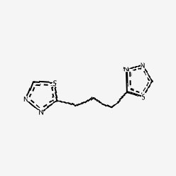 c1nnc(CCCc2nncs2)s1